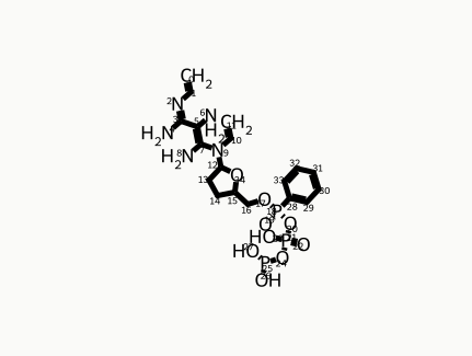 C=C/N=C(N)\C(N)=C(/N)N(C=C)C1CCC(COP(=O)(OP(=O)(O)OP(O)O)c2ccccc2)O1